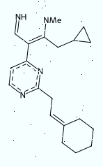 CN/C(CC1CC1)=C(\C=N)c1ccnc(CC=C2CCCCC2)n1